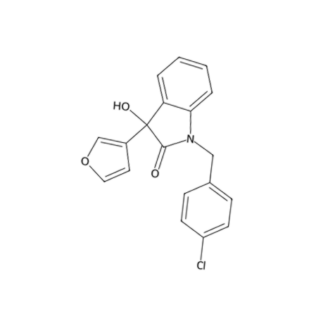 O=C1N(Cc2ccc(Cl)cc2)c2ccccc2C1(O)c1ccoc1